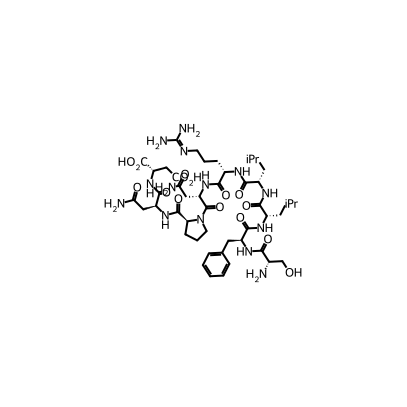 CC(C)C[C@H](NC(=O)[C@H](CC(C)C)NC(=O)[C@H](Cc1ccccc1)NC(=O)[C@@H](N)CO)C(=O)N[C@@H](CCCN=C(N)N)C(=O)N[C@@H](CC(N)=O)C(=O)N1CCC[C@H]1C(=O)N[C@@H](CC(N)=O)C(=O)N[C@@H](CC(=O)O)C(=O)O